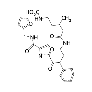 CC(CCNC(=O)O)CC(=O)NCCC(C(=O)c1nc(C(=O)NCc2ccco2)co1)c1ccccc1